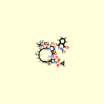 CCn1nc(O[C@@H]2C[C@H]3C(=O)N[C@]4(C(=O)NS(=O)(=O)C5CC5)C[C@H]4C=CCC[C@@H](C)C[C@@H](C)[C@H](N(C(=O)O)C(C)(C)C(F)(F)F)C(=O)N3C2)c2ccccc2c1=O